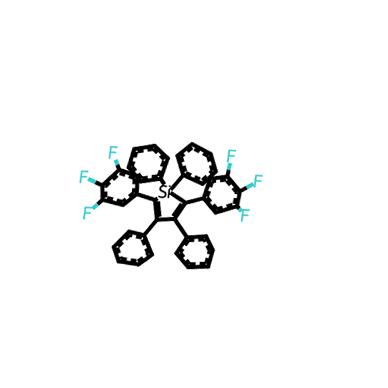 Fc1cc(C2=C(c3ccccc3)C(c3ccccc3)=C(c3cc(F)c(F)c(F)c3)[Si]2(c2ccccc2)c2ccccc2)cc(F)c1F